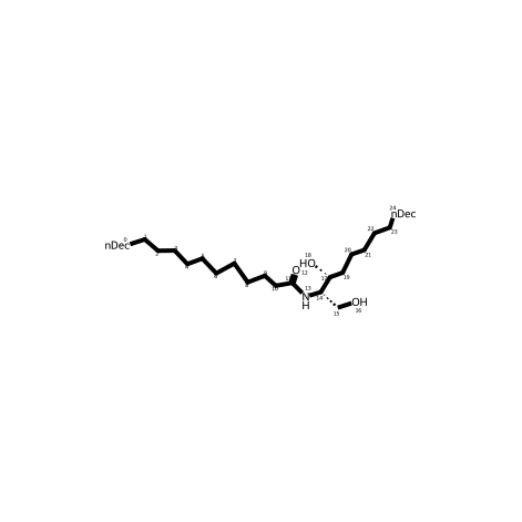 CCCCCCCCCCCCCCCCCCCCC(=O)N[C@@H](CO)[C@H](O)CCCCCCCCCCCCCCC